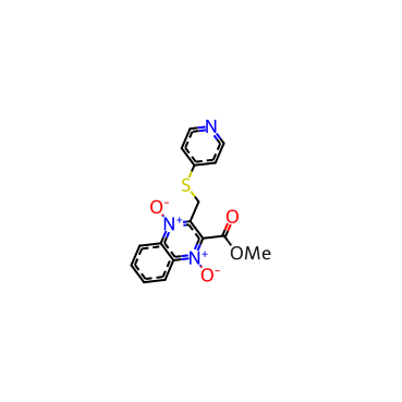 COC(=O)c1c(CSc2ccncc2)[n+]([O-])c2ccccc2[n+]1[O-]